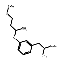 CNC(C)Cc1cccc(OC(N)CCSSC)c1